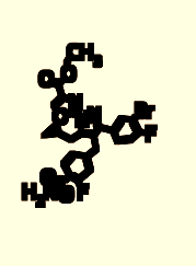 CCOC(=O)c1coc(-n2nc(-c3ccc(F)c(Br)c3)c(Cc3ccc(S(N)(=O)=O)c(F)c3)c2CC2CC2)n1